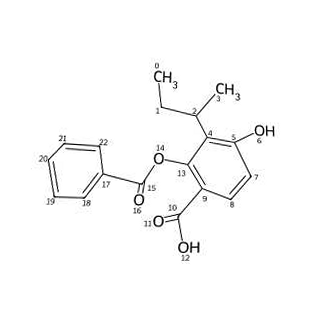 CCC(C)c1c(O)ccc(C(=O)O)c1OC(=O)c1ccccc1